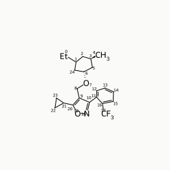 CCC1C[C@@H](C)C[C@H](OCc2c(-c3ccccc3C(F)(F)F)noc2C2CC2)C1